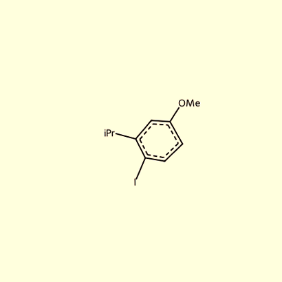 [CH2]C(C)c1cc(OC)ccc1I